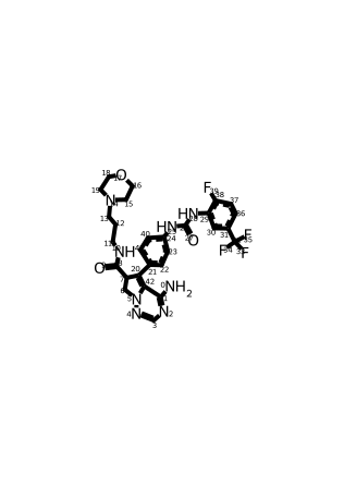 NC1=NC=NN2CC(C(=O)NCCCN3CCOCC3)C(c3ccc(NC(=O)Nc4cc(C(F)(F)F)ccc4F)cc3)=C12